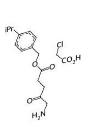 CC(C)c1ccc(COC(=O)CCC(=O)CN)cc1.O=C(O)CCl